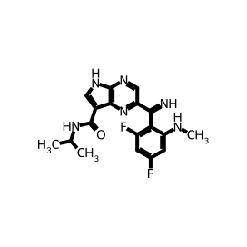 CNc1cc(F)cc(F)c1C(=N)c1cnc2[nH]cc(C(=O)NC(C)C)c2n1